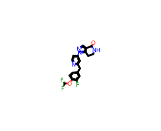 O=C1NCCc2c1cnn2-c1ccnc(Cc2ccc(OC(F)F)c(F)c2)c1